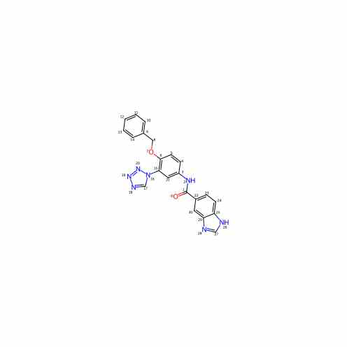 O=C(Nc1ccc(OCc2ccccc2)c(-n2cnnn2)c1)c1ccc2[nH]cnc2c1